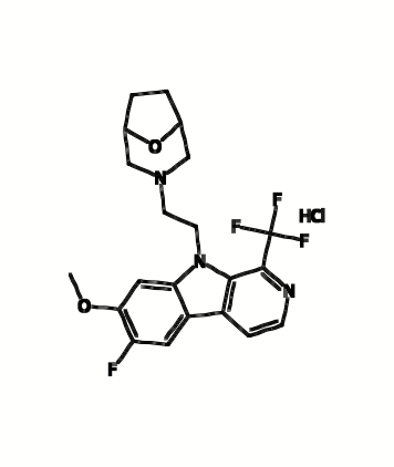 COc1cc2c(cc1F)c1ccnc(C(F)(F)F)c1n2CCN1CC2CCC(C1)O2.Cl